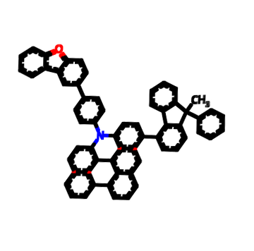 CC1(c2ccccc2)c2ccccc2-c2c(-c3ccc(N(c4ccc(-c5ccc6oc7ccccc7c6c5)cc4)c4ccccc4-c4cccc5cccc(-c6ccccc6)c45)cc3)cccc21